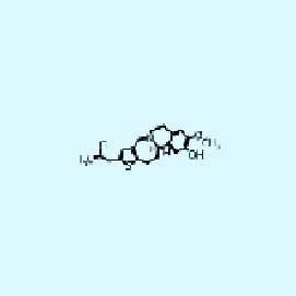 COc1cc2c(cc1O)[C@@H]1CCc3sc(CC(C)Cl)cc3CN1CC2